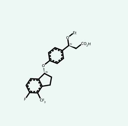 CCO[C@@H](CC(=O)O)c1ccc(O[C@@H]2CCc3c2ccc(F)c3C(F)(F)F)cc1